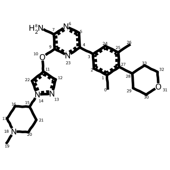 Cc1cc(-c2cnc(N)c(Oc3cnn(C4CCN(C)CC4)c3)n2)cc(C)c1C1CCOCC1